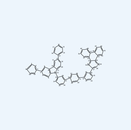 c1ccc(-c2ccc3c(c2)c2cc(-c4ccccc4)ccc2n3-c2cccc(-c3ccc(-c4cccc(-c5cnc6c7ccccc7c7ccccc7c6n5)c4)cc3)c2)cc1